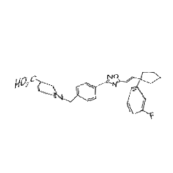 O=C(O)C1CN(Cc2ccc(-c3noc(/C=C/C4(c5cccc(F)c5)CCCC4)n3)cc2)C1